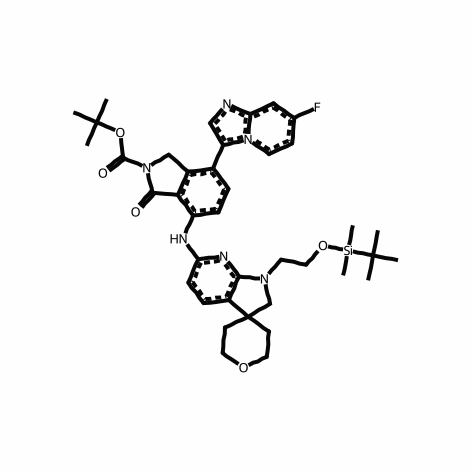 CC(C)(C)OC(=O)N1Cc2c(-c3cnc4cc(F)ccn34)ccc(Nc3ccc4c(n3)N(CCO[Si](C)(C)C(C)(C)C)CC43CCOCC3)c2C1=O